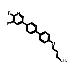 CCCCOc1ccc(-c2ccc(-c3cnc(F)c(F)c3)cc2)cc1